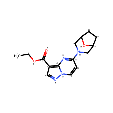 CCOC(=O)c1cnn2ccc(N3CC4CCC(C3)O4)nc12